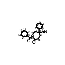 N#CC1(c2ccccc2)CCC(=O)N(C(=O)c2ccccc2)CC1